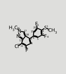 CSc1c(F)cc(-c2cc(F)c(Cl)c3nn(C)cc23)cc1F